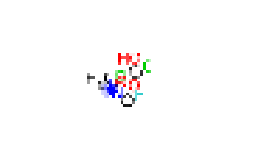 Cn1nnn(-c2cccc(F)c2COc2cc(Cl)c(O)cc2Cl)c1=O